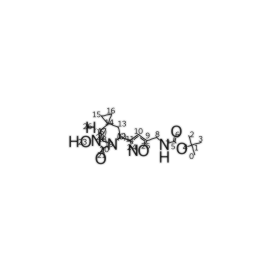 CC(C)(C)OC(=O)NCc1cc([C@@H]2CC3(CC3)[C@H]3CN2C(=O)N3O)no1